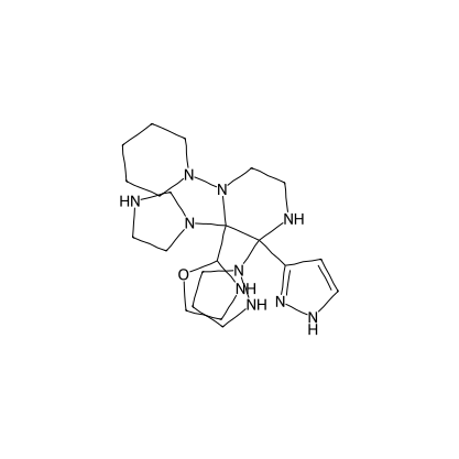 c1cc(C2(N3CCCN3)NCCN(N3CCCCC3)C2(C2NCCO2)N2CCNC2)n[nH]1